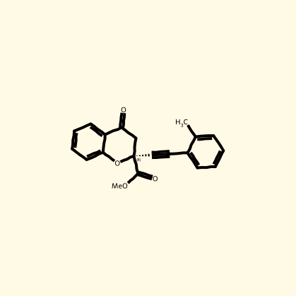 COC(=O)[C@]1(C#Cc2ccccc2C)CC(=O)c2ccccc2O1